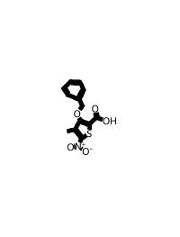 Cc1c([N+](=O)[O-])sc(C(=O)O)c1OCc1ccccc1